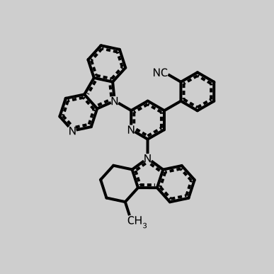 CC1CCCc2c1c1ccccc1n2-c1cc(-c2ccccc2C#N)cc(-n2c3ccccc3c3ccncc32)n1